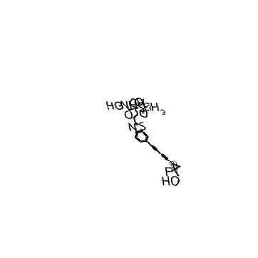 CC(CCc1nc2ccc(C#CC#C[C@H]3C[C@]3(F)CO)cc2s1)(C(=O)NO)S(C)(=O)=O